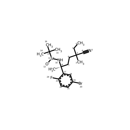 CCC(C)(C#N)CC[C@](C)(N[S+]([O-])C(C)(C)C)c1cc(Br)ccc1F